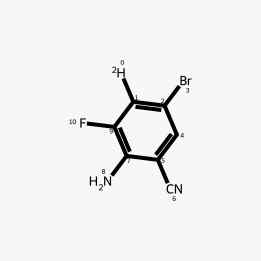 [2H]c1c(Br)cc(C#N)c(N)c1F